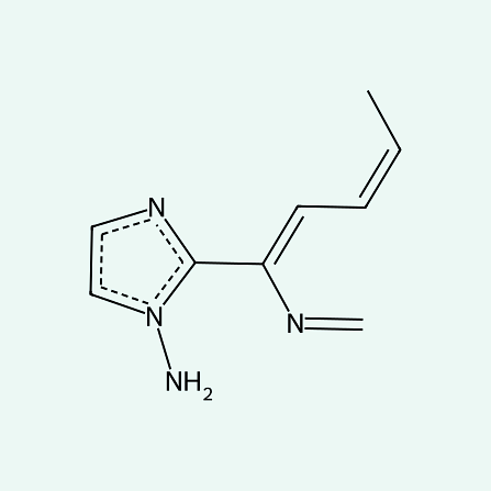 C=N/C(=C\C=C/C)c1nccn1N